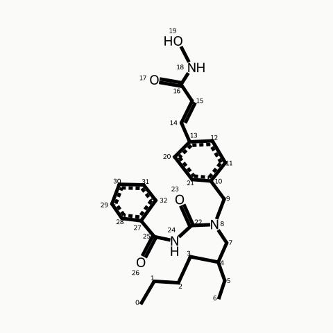 CCCCC(CC)CN(Cc1ccc(C=CC(=O)NO)cc1)C(=O)NC(=O)c1ccccc1